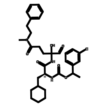 CC(OC(=O)N[C@@H](CC1CCCCC1)C(=O)NC(O)(C=O)CCC(=O)N(C)CCc1ccccc1)c1cccc(Cl)c1